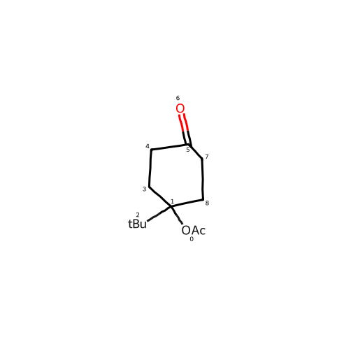 CC(=O)OC1(C(C)(C)C)CCC(=O)CC1